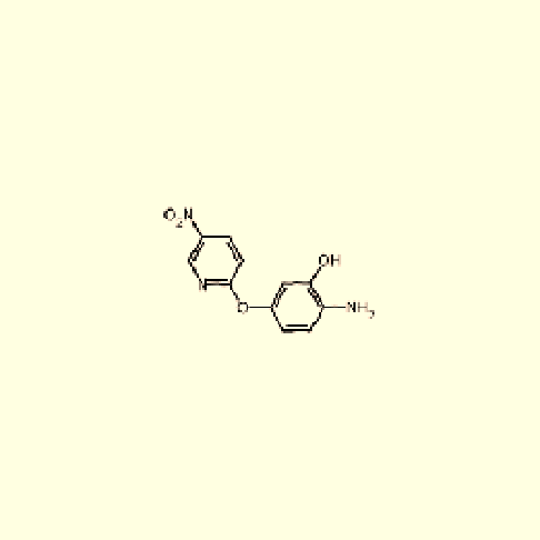 Nc1ccc(Oc2ccc([N+](=O)[O-])cn2)cc1O